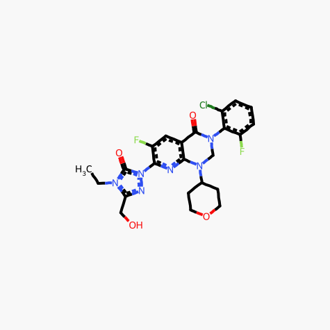 CCn1c(CO)nn(-c2nc3c(cc2F)C(=O)N(c2c(F)cccc2Cl)CN3C2CCOCC2)c1=O